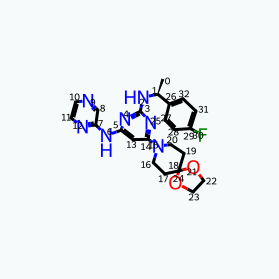 C[C@H](Nc1nc(Nc2cnccn2)cc(N2CCC3(CC2)OCCO3)n1)c1ccc(F)cc1